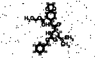 CCOC(=O)[C@@H]1CC2(CCC1NC(=O)[C@H](CC[S+](C)C)NC(=O)OCc1ccccc1)OCCO2